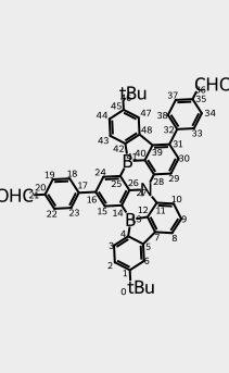 CC(C)(C)c1ccc2c(c1)-c1cccc3c1B2c1cc(-c2ccc(C=O)cc2)cc2c1N3c1ccc(-c3ccc(C=O)cc3)c3c1B2c1ccc(C(C)(C)C)cc1-3